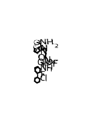 NC(=O)c1nn(CC(=O)N2C[C@H](F)C[C@H]2C(=O)Nc2cccc(-c3ccccc3Cl)c2F)c2ccsc12